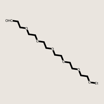 CCOCCOCCOCCOCCOCCOCCC=O